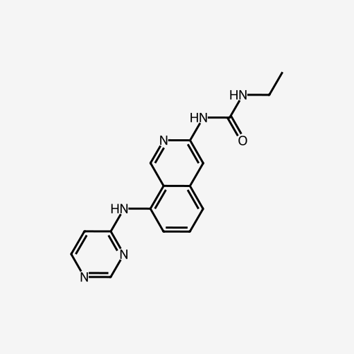 CCNC(=O)Nc1cc2cccc(Nc3ccncn3)c2cn1